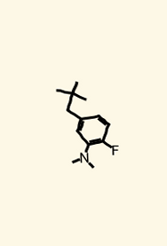 CN(C)c1cc(CC(C)(C)C)ccc1F